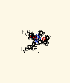 Cc1ccc(-c2ccc3c(c2)c2cc(-c4ccc(C(F)(F)F)cc4C)ccc2n3-c2ccc(-c3cccc4c3oc3ccccc34)cc2-c2nc(-c3ccccc3)nc(-c3ccccc3)n2)c(C(F)(F)F)c1